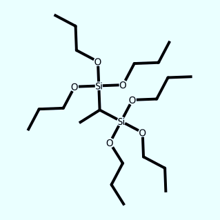 CCCO[Si](OCCC)(OCCC)C(C)[Si](OCCC)(OCCC)OCCC